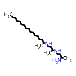 C=C(N)CCNC(=C)CCNC(=C)CCCCCCCCCCCCCCC